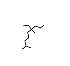 CCCC(C)(CC)CCCC(C)C